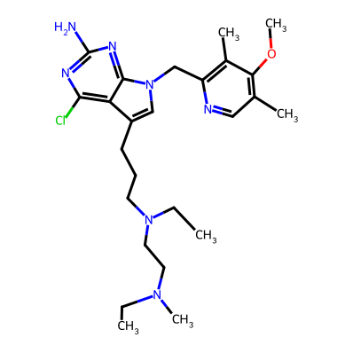 CCN(C)CCN(CC)CCCc1cn(Cc2ncc(C)c(OC)c2C)c2nc(N)nc(Cl)c12